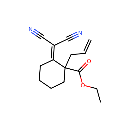 C=CCC1(C(=O)OCC)CCCCC1=C(C#N)C#N